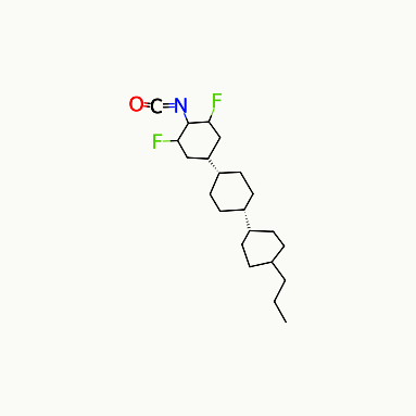 CCCC1CCC([C@H]2CC[C@@H](C3CC(F)C(N=C=O)C(F)C3)CC2)CC1